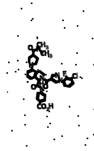 CN(C)C(=O)C1CCN(c2cccc3c2CCN(C(=O)c2cnn(-c4cccc(Cl)c4F)c2)C3C(=O)Nc2ccc(C(=O)O)cc2)CC1